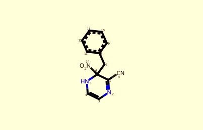 N#CC1=NC=CNC1(Cc1ccccc1)[N+](=O)[O-]